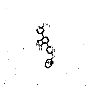 Cc1cc(-c2ccc(-c3ccc(OC4CC5CCC(C4)N5)nn3)c3[nH]ncc23)ccn1